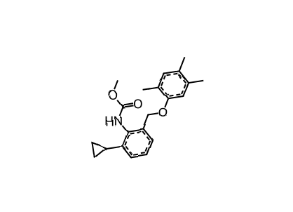 COC(=O)Nc1c(COc2cc(C)c(C)cc2C)cccc1C1CC1